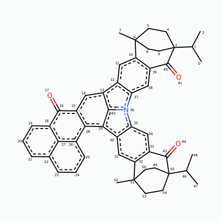 CC(C)C12CCC(C)(CC1)c1cc3c4cc5c(=O)c6cccc7cccc(c76)c5c5c6cc7c(cc6n(c3cc1C2=O)c45)C(=O)C1(C(C)C)CCC7(C)CC1